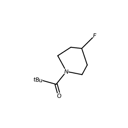 CC(C)(C)C(=O)N1CCC(F)CC1